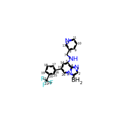 Bc1cnc2c(NCc3cccnc3)cc(-c3cccc(C(F)(F)F)c3)cn12